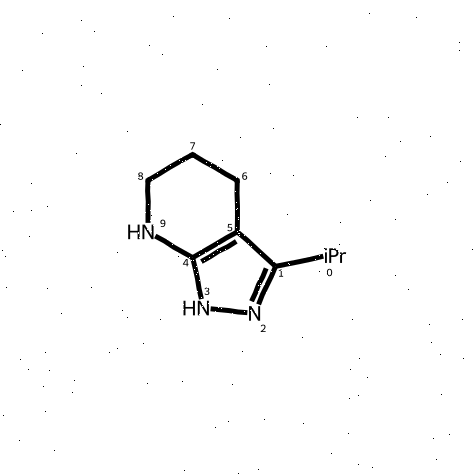 CC(C)c1n[nH]c2c1CCCN2